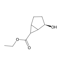 CCOC(=O)C1C2CC[C@@H](O)C21